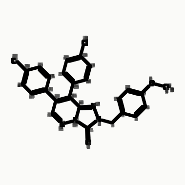 O=c1n(Cc2ccc(OC(F)(F)F)cc2)nc2c(-c3ccc(Cl)cc3)c(-c3ccc(Cl)cc3)cnn12